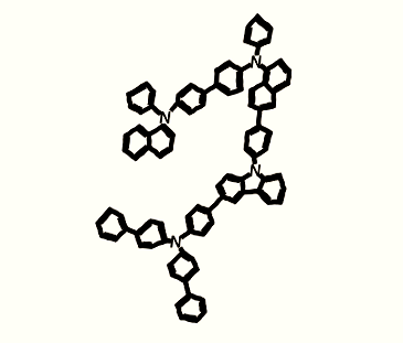 c1ccc(-c2ccc(N(c3ccc(-c4ccccc4)cc3)c3ccc(-c4ccc5c(c4)c4ccccc4n5-c4ccc(-c5ccc6c(N(c7ccccc7)c7ccc(-c8ccc(N(c9ccccc9)c9cccc%10ccccc9%10)cc8)cc7)cccc6c5)cc4)cc3)cc2)cc1